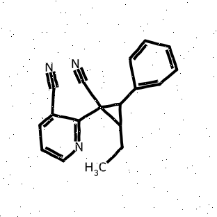 CCC1C(c2ccccc2)C1(C#N)c1ncccc1C#N